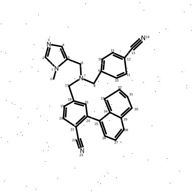 Cn1cncc1CN(Cc1ccc(C#N)cc1)Cc1ccc(C#N)c(-c2cccc3ccccc23)c1